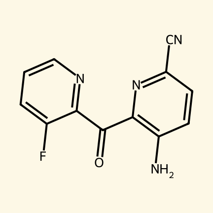 N#Cc1ccc(N)c(C(=O)c2ncccc2F)n1